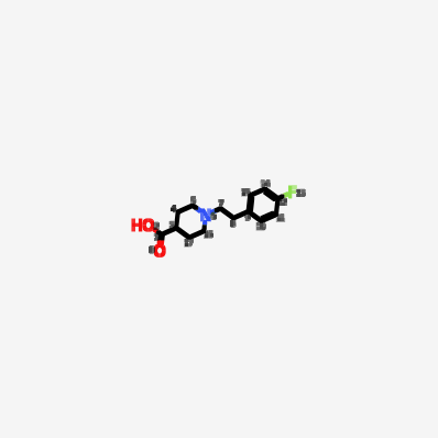 O=C(O)C1CCN(CCc2ccc(F)cc2)CC1